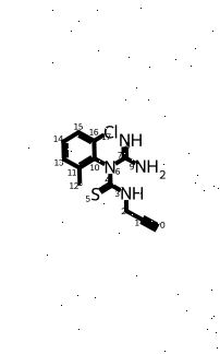 C#CCNC(=S)N(C(=N)N)c1c(C)cccc1Cl